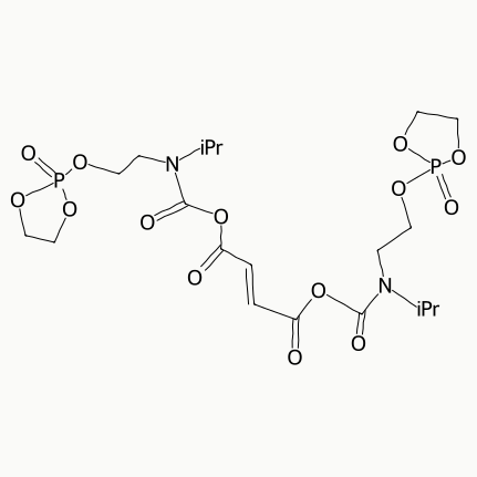 CC(C)N(CCOP1(=O)OCCO1)C(=O)OC(=O)/C=C/C(=O)OC(=O)N(CCOP1(=O)OCCO1)C(C)C